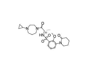 [CH2][C@H](NS(=O)(=O)c1cccc(N2CCCCC2=O)c1OC)C(=O)N1CCCN(C2CC2)CC1